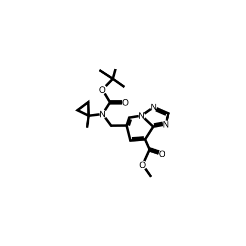 COC(=O)c1cc(CN(C(=O)OC(C)(C)C)C2(C)CC2)cn2ncnc12